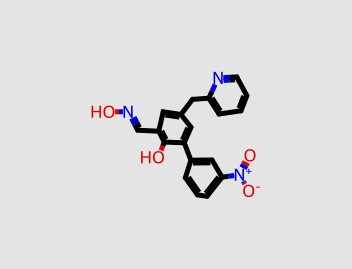 O=[N+]([O-])c1cccc(-c2cc(Cc3ccccn3)cc(C=NO)c2O)c1